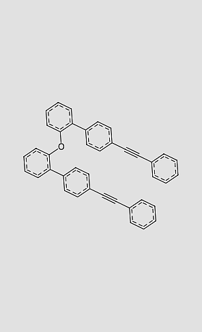 C(#Cc1ccc(-c2ccccc2Oc2ccccc2-c2ccc(C#Cc3ccccc3)cc2)cc1)c1ccccc1